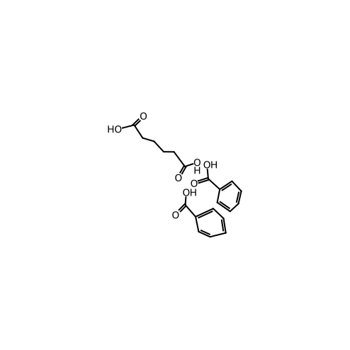 O=C(O)CCCCC(=O)O.O=C(O)c1ccccc1.O=C(O)c1ccccc1